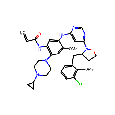 C=CC(=O)Nc1cc(Nc2cc(N3OCCC3Cc3cccc(Cl)c3OC)ncn2)c(OC)cc1N1CCN(C2CC2)CC1